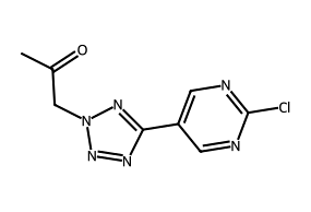 CC(=O)Cn1nnc(-c2cnc(Cl)nc2)n1